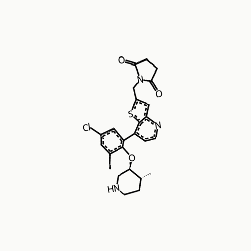 Cc1cc(Cl)cc(-c2ccnc3cc(CN4C(=O)CCC4=O)sc23)c1O[C@@H]1CNCC[C@H]1C